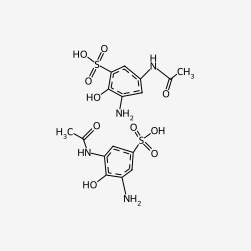 CC(=O)Nc1cc(N)c(O)c(S(=O)(=O)O)c1.CC(=O)Nc1cc(S(=O)(=O)O)cc(N)c1O